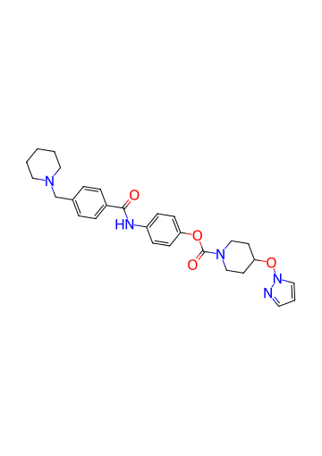 O=C(Nc1ccc(OC(=O)N2CCC(On3cccn3)CC2)cc1)c1ccc(CN2CCCCC2)cc1